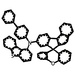 c1ccc(-c2ccc(N(c3ccc4c(c3)C3(c5ccccc5Oc5ccccc53)c3ccc5ccccc5c3-4)c3cccc4sc5ccccc5c34)cc2)cc1